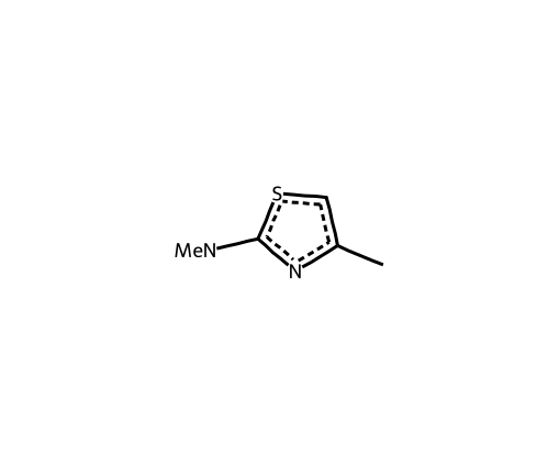 CNc1nc(C)cs1